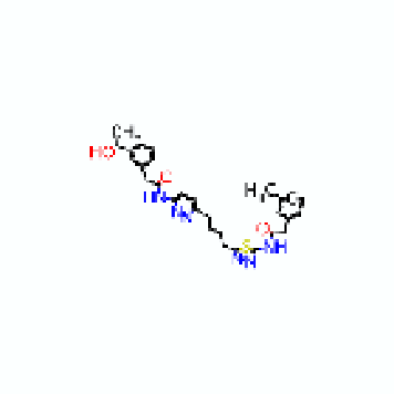 Cc1cccc(CC(=O)Nc2nnc(CCCCc3ccc(NC(=O)Cc4cccc(C(C)O)c4)nn3)s2)c1